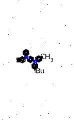 CCC(C)c1ccc(N(c2ccc(C)cc2)c2ccc(N(c3ccccc3)c3ccc4c(c3)CC4)cc2)cc1